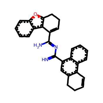 N=C(/N=C(\N)C1=CCCc2oc3ccccc3c21)c1cc2c(c3ccccc13)C=CCC2